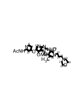 COc1c(Oc2ccnc(NC(C)=O)c2)cnc2nc(Nc3cc(C)cn(CCCN4CCOCC4)c3=O)n(C)c12